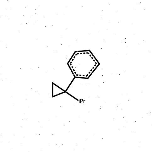 CC(C)C1(c2cc[c]cc2)CC1